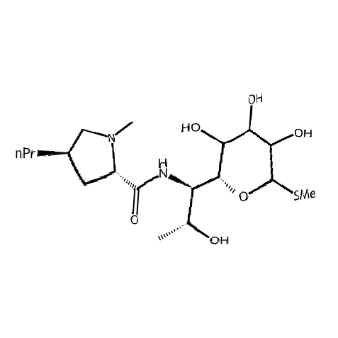 CCC[C@@H]1C[C@@H](C(=O)N[C@H]([C@@H](C)O)[C@H]2OC(SC)C(O)C(O)C2O)N(C)C1